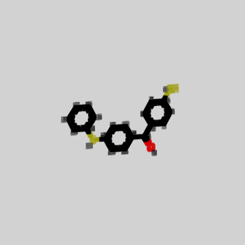 O=C(c1ccc(S)cc1)c1ccc(Sc2ccccc2)cc1